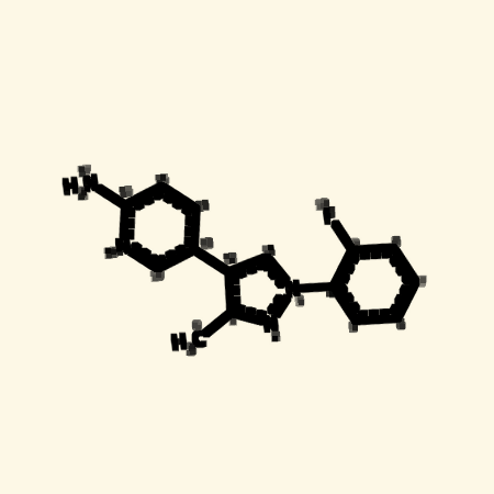 Cc1nn(-c2ccccc2F)cc1-c1ccc(N)nc1